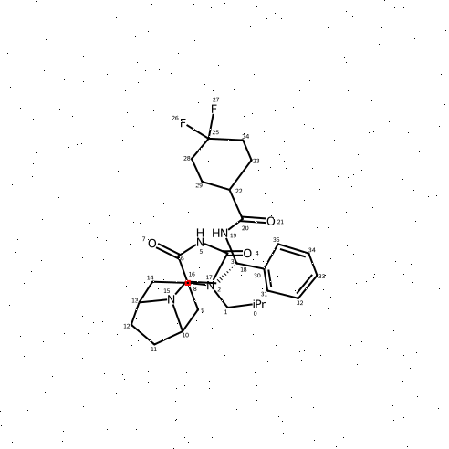 CC(C)CN1C(=O)NC(=O)C12CC1CCC(C2)N1CC[C@H](NC(=O)C1CCC(F)(F)CC1)c1ccccc1